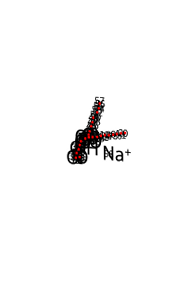 CCCCCCCCCCCCCCCC(=O)OC[C@H](COP(=O)([O-])OCCNC(=O)CCN1C(=O)C=CC1=O)OC(=O)CCCCCCCCCCCCCCC.[Na+]